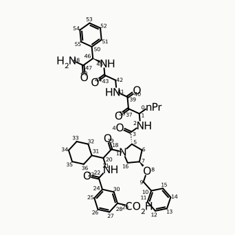 CCCC(NC(=O)[C@@H]1C[C@@H](OCc2ccccc2)CN1C(=O)C(NC(=O)c1cccc(C(=O)O)c1)C1CCCCC1)C(=O)C(=O)NCC(=O)N[C@@H](C(N)=O)c1ccccc1